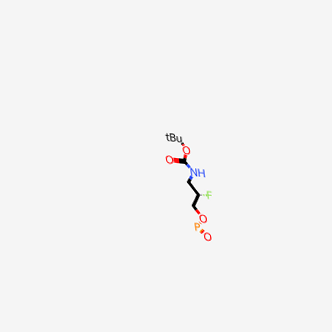 CC(C)(C)OC(=O)NC[C@H](F)COP=O